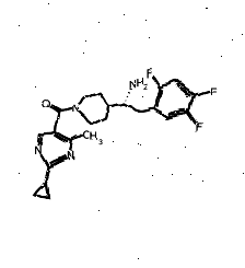 Cc1nc(C2CC2)ncc1C(=O)N1CCC([C@H](N)Cc2cc(F)c(F)cc2F)CC1